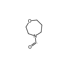 O=[C]N1CCCOCC1